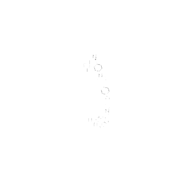 COC(CN1CC(COc2ccc(C3CCN(c4ccc(C#N)c(C(F)(F)F)c4)CC3)cc2)C1)OC